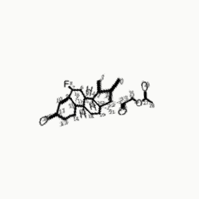 C=C1C(=C)[C@H]2[C@@H]3CC(F)C4=CC(=O)CC[C@]4(C)[C@H]3CC[C@]2(C)[C@H]1C(=O)COC(C)=O